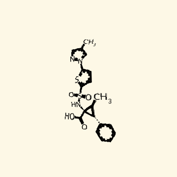 Cc1cnn(-c2ccc(S(=O)(=O)N[C@@]3(C(=O)O)C(C)[C@@H]3c3ccccc3)s2)c1